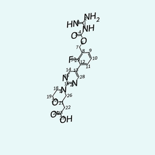 N=C(N)NC(=O)OCc1cccc(-c2cnc(N3CCOC(CC(=O)O)C3)nc2)c1F